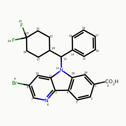 O=C(O)c1ccc2c3ncc(Br)cc3n(C(c3ccccc3)C3CCC(F)(F)CC3)c2c1